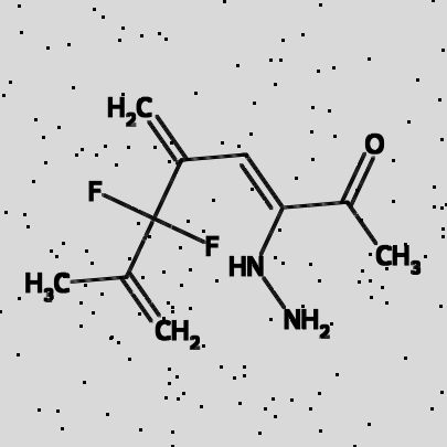 C=C(C)C(F)(F)C(=C)/C=C(\NN)C(C)=O